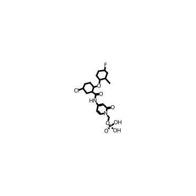 CC1CC(F)CCC1OC1CCC(Cl)CC1C(=O)Nc1ccn(COP(=O)(O)O)c(=O)c1